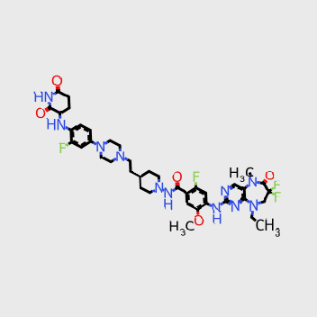 CCN1CC(F)(F)C(=O)N(C)c2cnc(Nc3cc(F)c(C(=O)NN4CCC(CCN5CCN(c6ccc(NC7CCC(=O)NC7=O)c(F)c6)CC5)CC4)cc3OC)nc21